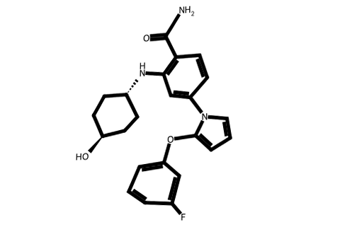 NC(=O)c1ccc(-n2cccc2Oc2cccc(F)c2)cc1N[C@H]1CC[C@H](O)CC1